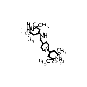 CC1(C)CC(NCC2CCN(C3CC(C)(C)NC(C)(C)C3)CC2)CC(C)(C)N1